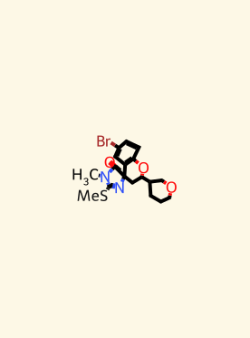 CSC1=NC2(CC(C3CCCOC3)Oc3ccc(Br)cc32)C(=O)N1C